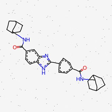 O=C(NC1CC2CCC1CC2)c1ccc(-c2nc3cc(C(=O)NC4CC5CCC4CC5)ccc3[nH]2)cc1